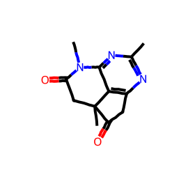 Cc1nc2c3c(n1)N(C)C(=O)CC3(C)C(=O)C2